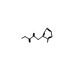 O=C(CCl)C(=O)Cc1ccccc1Br